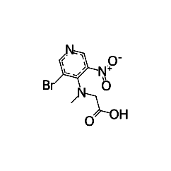 CN(CC(=O)O)c1c(Br)cncc1[N+](=O)[O-]